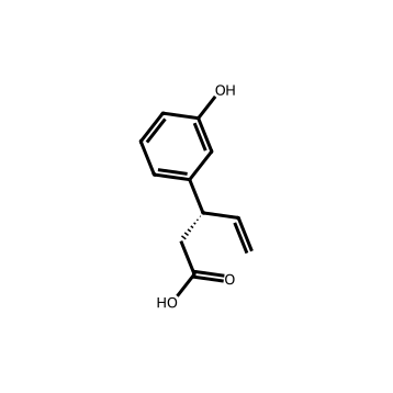 C=C[C@H](CC(=O)O)c1cccc(O)c1